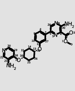 COC(=O)c1nc(-c2cccc(O[C@H]3CC[C@@H](Oc4ccncc4N)CC3)c2)cnc1N